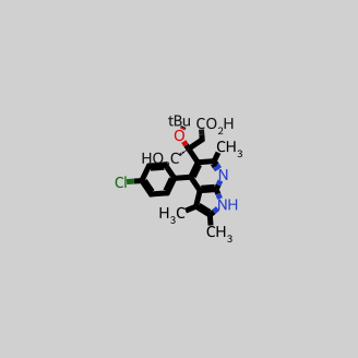 Cc1nc2[nH]c(C)c(C)c2c(-c2ccc(Cl)cc2)c1[C@](CC(=O)O)(OC(C)(C)C)C(=O)O